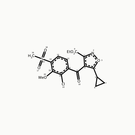 CCOC(=O)c1noc(C2CC2)c1C(=O)c1ccc(S(C)(=O)=O)c(OC)c1Cl